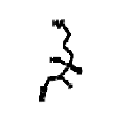 CCCCP(=O)(O)C(F)=CC#N